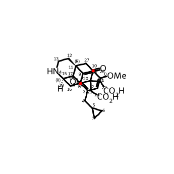 COc1cc(CC2CC2)c2c(c1)[C@]13CCN[C@H](C2)[C@]1(O)CC(CC(=O)O)(CC(=O)O)C(=O)C3